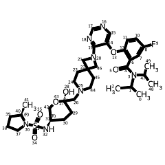 CC(C)N(C(=O)c1cc(F)ccc1Oc1cncnc1N1CC2(CCN(C[C@@]3(O)CC[C@@H](NS(=O)(=O)N4CCC[C@H]4C)CO3)CC2)C1)C(C)C